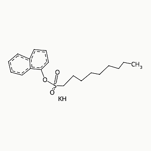 CCCCCCCCCS(=O)(=O)Oc1cccc2ccccc12.[KH]